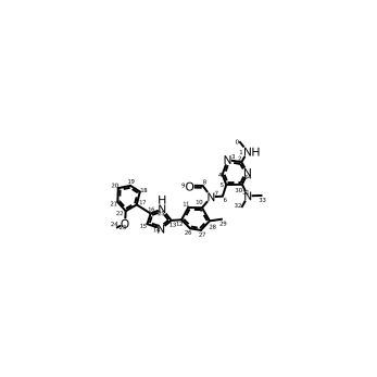 CNc1ncc(CN(C=O)c2cc(-c3ncc(-c4ccccc4OC)[nH]3)ccc2C)c(N(C)C)n1